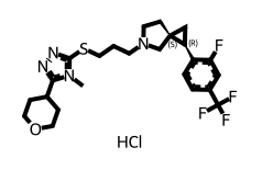 Cl.Cn1c(SCCCN2CC[C@]3(C[C@H]3c3ccc(C(F)(F)F)cc3F)C2)nnc1C1CCOCC1